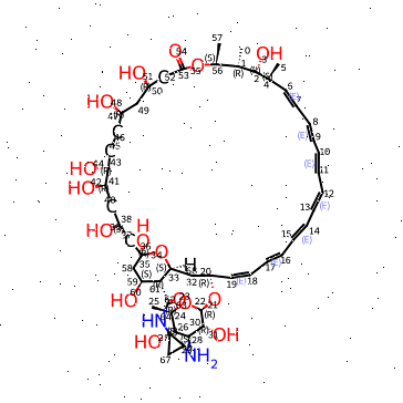 C[C@@H]1[C@H](O)[C@@H](C)/C=C/C=C/C=C/C=C/C=C/C=C/C=C/[C@H](O[C@@H]2O[C@H](C)[C@@H](O)[C@H](N)[C@H]2O)C[C@@H]2O[C@](O)(C[C@@H](O)C[C@@H](O)[C@H](O)CC[C@@H](O)C[C@@H](O)CC(=O)O[C@H]1C)C[C@H](O)[C@H]2C(=O)NC1CC1